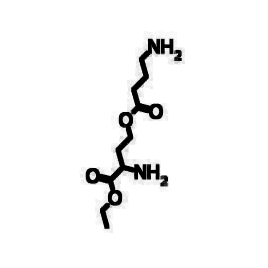 CCOC(=O)C(N)CCOC(=O)CCCN